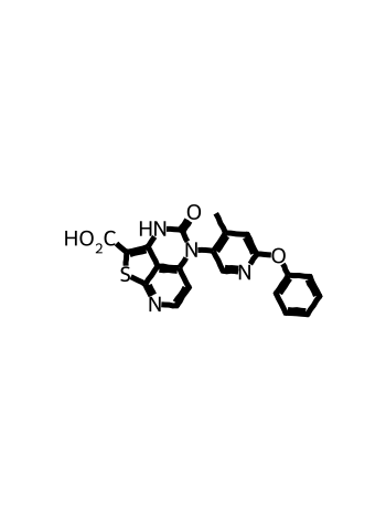 Cc1cc(Oc2ccccc2)ncc1N1C(=O)Nc2c(C(=O)O)sc3nccc1c23